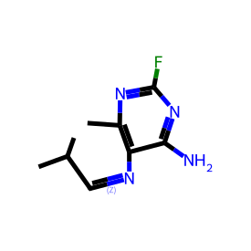 Cc1nc(F)nc(N)c1/N=C\C(C)C